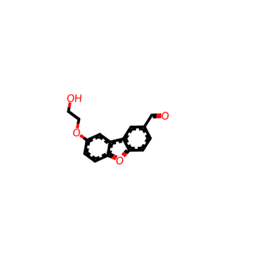 O=Cc1ccc2oc3ccc(OCCO)cc3c2c1